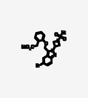 CCOC(=O)Cc1ccccc1OCc1c2cc(Br)ccc2nn1C1CN(S(=O)(=O)CC)C1